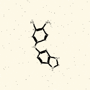 Nc1ccc(Oc2ccc3c(c2)OCO3)cc1S